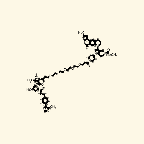 CNC(=O)N1CCc2c(c(N3CCCc4cc(-c5cnn(C)c5)c(C(F)F)cc43)nn2C2CCN(C(=O)CCOCCOCCOCCOCCOCCC(=O)N[C@H](C(=O)N3C[C@H](O)C[C@H]3C(=O)NCc3ccc(-c4scnc4C)cc3)C(C)(C)C)CC2)C1